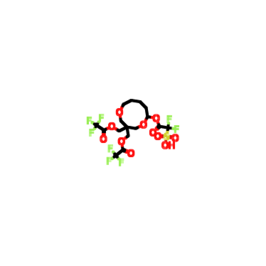 O=C(OCC1(COC(=O)C(F)(F)F)COCCCCC(OC(=O)C(F)(F)S(=O)(=O)O)OC1)C(F)(F)F